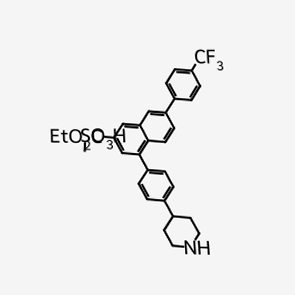 CCOC(=O)c1cc(-c2ccc(C3CCNCC3)cc2)c2ccc(-c3ccc(C(F)(F)F)cc3)cc2c1.CS(=O)(=O)O